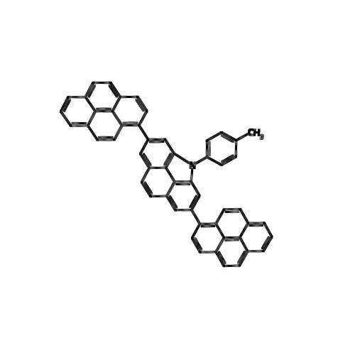 Cc1ccc(-n2c3cc(-c4ccc5ccc6cccc7ccc4c5c67)cc4ccc5cc(-c6ccc7ccc8cccc9ccc6c7c89)cc2c5c43)cc1